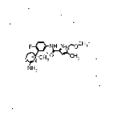 COCn1nc(C(=O)Nc2ccc(F)c([C@]3(C)CCSC(N)=N3)c2)cc1C